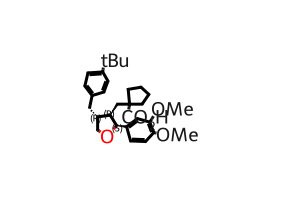 COc1ccc([C@H]2OC[C@H](Cc3ccc(C(C)(C)C)cc3)[C@H]2CC2(C(=O)O)CCCC2)cc1OC